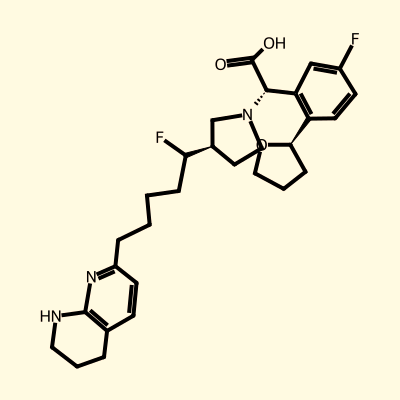 O=C(O)[C@H](c1cc(F)ccc1[C@H]1CCCO1)N1CC[C@@H](C(F)CCCCc2ccc3c(n2)NCCC3)C1